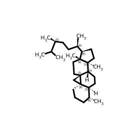 CC(C)[C@@H](C)CC[C@@H](C)[C@H]1CC[C@@]2(C)[C@@H]3CC[C@H]4[C@H](C)CCC[C@@]45C[C@@]35CC[C@]12C